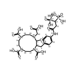 CC1C(Cc2ccc(NC(=O)CC(P(=O)(O)O)P(=O)(O)O)cc2)N(C(=O)O)CCN(C(=O)O)CCN(C(=O)O)CCN1CC(=O)O